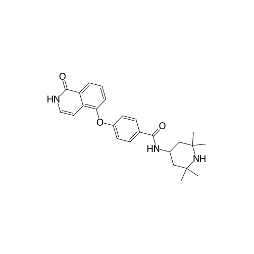 CC1(C)CC(NC(=O)c2ccc(Oc3cccc4c(=O)[nH]ccc34)cc2)CC(C)(C)N1